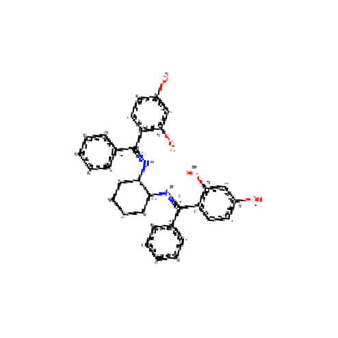 Oc1ccc(/C(=N/C2CCCCC2/N=C(\c2ccccc2)c2ccc(O)cc2O)c2ccccc2)c(O)c1